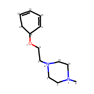 CN1CCN(CCOC2C=CC=CC2)CC1